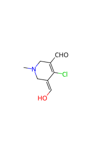 CN1CC(C=O)=C(Cl)/C(=C/O)C1